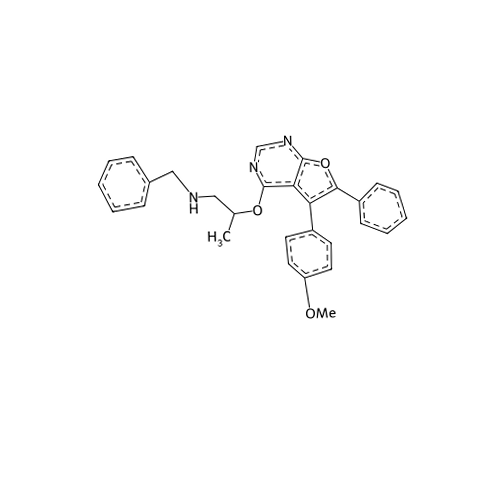 COc1ccc(-c2c(-c3ccccc3)oc3ncnc(OC(C)CNCc4ccccc4)c23)cc1